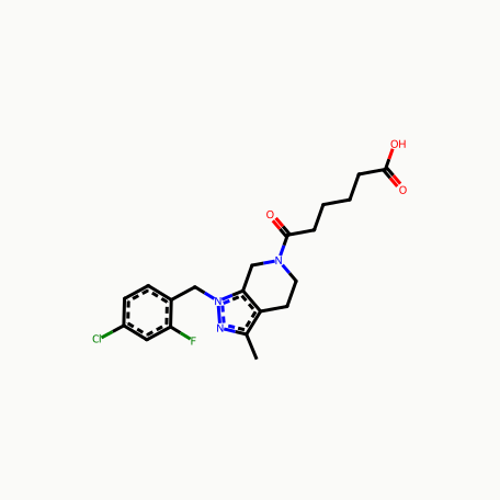 Cc1nn(Cc2ccc(Cl)cc2F)c2c1CCN(C(=O)CCCCC(=O)O)C2